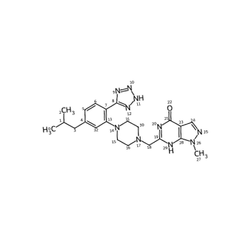 CC(C)Cc1ccc(-c2nn[nH]n2)c(N2CCN(Cc3nc(=O)c4cnn(C)c4[nH]3)CC2)c1